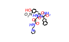 NC(=O)[C@H](NC(=O)[C@@H](Cc1ccc(O)c([N+](=O)[O-])c1)NC(=O)C1O[C@@H]1C(=O)NCCN1CCCC1)C1Cc2ccccc2C1